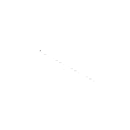 CCCCCCCCCCCCCCCCCCCCCCCCCCCCOP(=O)(O)O.[Nd]